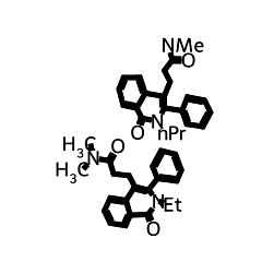 CCCn1c(-c2ccccc2)c(CCC(=O)NC)c2ccccc2c1=O.CCn1c(-c2ccccc2)c(CCC(=O)N(C)C)c2ccccc2c1=O